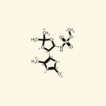 COS(=O)(=O)N[C@H]1OC(C)(C)O[C@H]1c1sc(Cl)nc1C